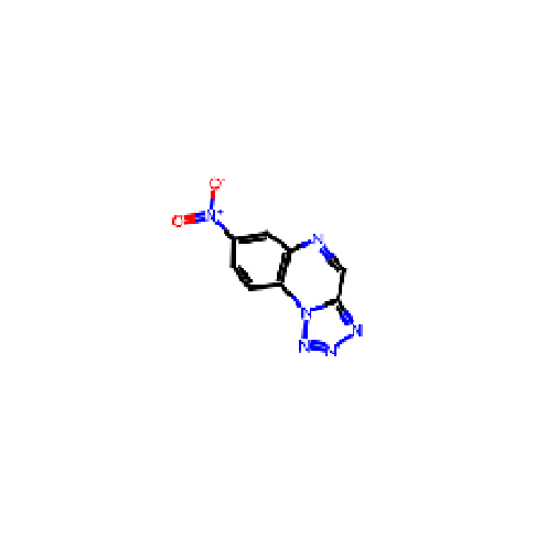 O=[N+]([O-])c1ccc2c(c1)ncc1nnnn12